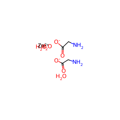 NCC(=O)[O-].NCC(=O)[O-].O.O.O.[Zn+2]